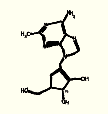 Cc1nc(N)c2ncn(C3=C(O)[C@@H](O)C(CO)C3)c2n1